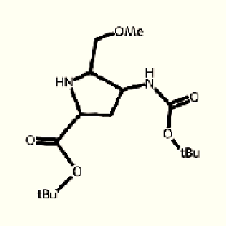 COCC1NC(C(=O)OC(C)(C)C)CC1NC(=O)OC(C)(C)C